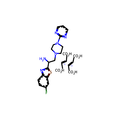 NC(CN1CCN(c2ncccn2)CC1)c1nc2ccc(F)cc2s1.O=C(O)/C=C/C(=O)O.O=C(O)/C=C/C(=O)O